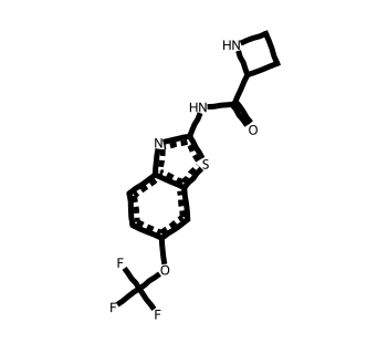 O=C(Nc1nc2ccc(OC(F)(F)F)cc2s1)C1CCN1